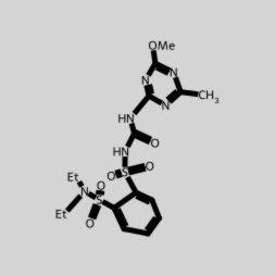 CCN(CC)S(=O)(=O)c1ccccc1S(=O)(=O)NC(=O)Nc1nc(C)nc(OC)n1